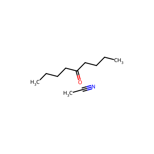 CC#N.CCCCC(=O)CCCC